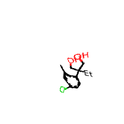 CCC(CO)(CO)c1ccc(Cl)cc1C